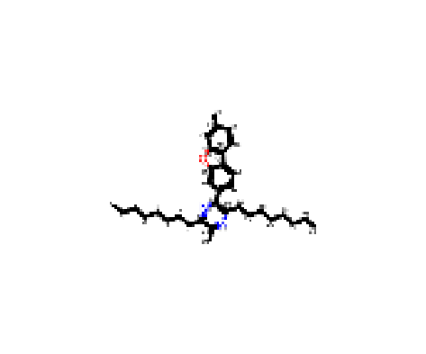 CCCCCCCCc1nc(-c2ccc3c(c2)oc2cc(C)ccc23)c(CCCCCCCC)nc1C